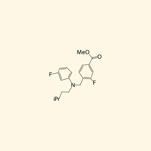 COC(=O)c1ccc(CN(CCC(C)C)c2cccc(F)c2)c(F)c1